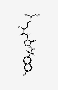 CC(C)N(CCCN(C(=O)O)C(C)(C)C)C(=O)[C@H](C)N1CC[C@H](NS(=O)(=O)c2ccc3cc(Cl)ccc3c2)C1=O